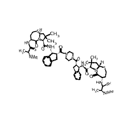 CN[C@@H](C)C(=S)N[C@H]1CCS[C@H]2CC(C)(C)[C@@H](C(=O)N[C@H]3c4ccccc4C[C@H]3C(=O)N3CCN(C(=O)[C@@H]4Cc5ccccc5[C@@H]4NC(=O)[C@H]4N5C(=O)[C@@H](NC(S)[C@H](C)NC)CCS[C@H]5CC4(C)C)CC3)N2C1=O